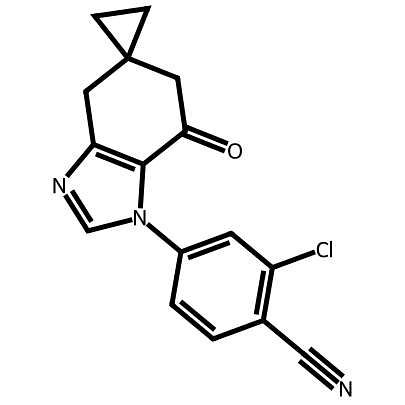 N#Cc1ccc(-n2cnc3c2C(=O)CC2(CC2)C3)cc1Cl